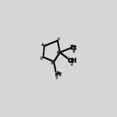 CCC1(O)CCCC1C(C)C